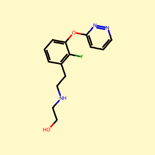 OCCNCCc1cccc(Oc2cccnn2)c1F